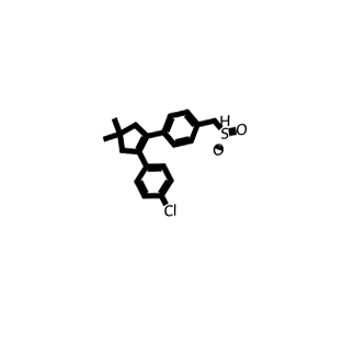 CC1(C)CC(c2ccc(Cl)cc2)=C(c2ccc(C[SH](=O)=O)cc2)C1